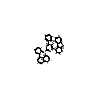 c1ccc2c(c1)-c1cccc3cccc(c13)N2c1nc(-c2cccc3sc4ccccc4c23)c2oc3ccccc3c2n1